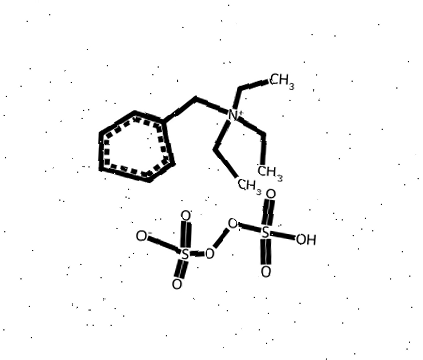 CC[N+](CC)(CC)Cc1ccccc1.O=S(=O)([O-])OOS(=O)(=O)O